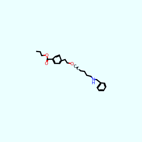 CCCOC(=O)c1ccc(CCOCCCCCCNCc2ccccc2)cc1